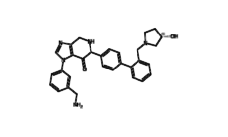 NCc1cccc(-n2cnc3c2C(=O)C(c2ccc(-c4ccccc4CN4CC[C@H](O)C4)cc2)NC3)c1